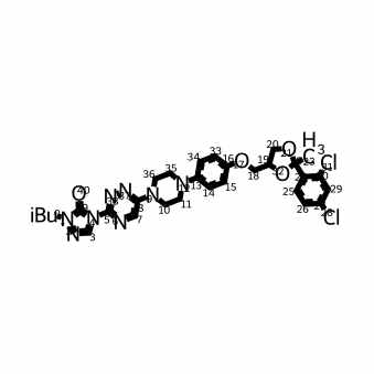 CCC(C)n1ncn(-c2ncc(N3CCN(c4ccc(OCC5COC(C)(c6ccc(Cl)cc6Cl)O5)cc4)CC3)nn2)c1=O